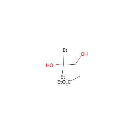 CCC(O)(CC)CO.CCOC(C)=O